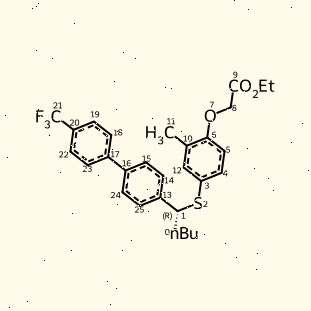 CCCC[C@@H](Sc1ccc(OCC(=O)OCC)c(C)c1)c1ccc(-c2ccc(C(F)(F)F)cc2)cc1